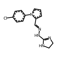 Clc1ccc(-n2cccc2C=NNC2=NCCN2)cc1